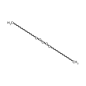 CCCCCCCCCCCCCCCCCCCCCCOCCOCCOCCOCCOCCCCCCCCCCCCCCCCCCCCCC